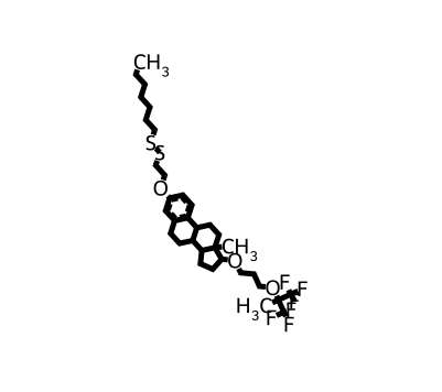 CCCCCCCSSCCOc1ccc2c(c1)CCC1C2CCC2(C)C(OCCCOC(C)(C(F)(F)F)C(F)(F)F)CCC12